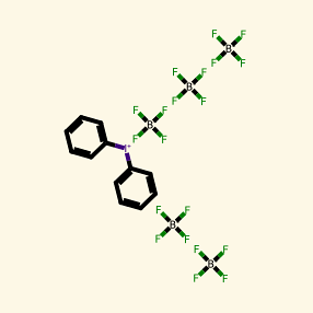 F[B-](F)(F)F.F[B-](F)(F)F.F[B-](F)(F)F.F[B-](F)(F)F.F[B-](F)(F)F.c1ccc([I+]c2ccccc2)cc1